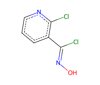 ON=C(Cl)c1cccnc1Cl